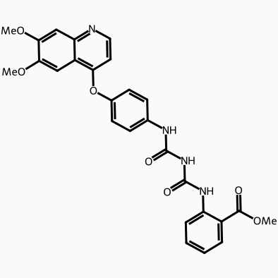 COC(=O)c1ccccc1NC(=O)NC(=O)Nc1ccc(Oc2ccnc3cc(OC)c(OC)cc23)cc1